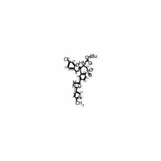 Cc1ccc(-c2nnc(-c3ccc4c(c3)N(Cc3ccc(Cl)cc3)C(=O)[C@@H](NC(=O)OC(C)(C)C)CS4(=O)=O)o2)cn1